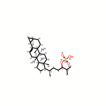 CC(C)C(CC[C@@H](C)[C@H]1CC[C@H]2[C@@H]3CC=C4C5C[C@@]5(C)CC[C@]4(C)[C@H]3CC[C@]12C)OS(=O)(=O)O